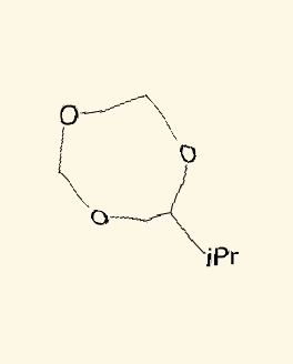 CC(C)C1OCOCO1